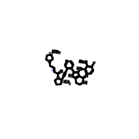 COc1c(F)cccc1Nc1c(-c2ccncc2C#C[C@@]2(C)CCCN2C(=O)/C=C/CN2CC[C@H](OC)C2)[nH]c2c1C(=O)NCC2